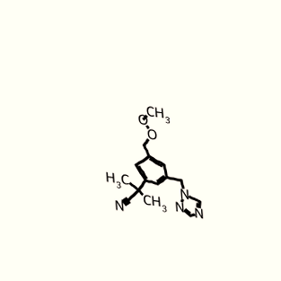 COOCc1cc(Cn2cncn2)cc(C(C)(C)C#N)c1